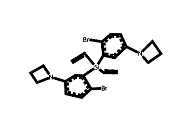 C=C[Si](C=C)(c1cc(N2CCC2)ccc1Br)c1cc(N2CCC2)ccc1Br